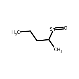 CCC[CH](C)[Sn]=[O]